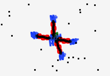 [N-]=[N+]=NCCOCCOCCOCCNC1=NC(Cl)(CCOCCOCCOCCN=[N+]=[N-])NC(N(CCOCCOCCOCCN=[N+]=[N-])CCOCCOCCOCCN=[N+]=[N-])=N1